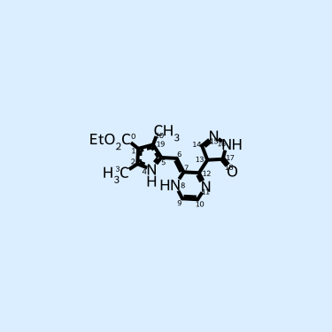 CCOC(=O)c1c(C)[nH]c(C=C2NC=CN=C2C2C=NNC2=O)c1C